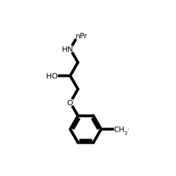 [CH2]c1cccc(OCC(O)CNCCC)c1